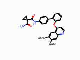 COc1cc2nccc(Oc3ccccc3-c3ccc(NC(=O)C4(C(N)=O)CC4)cc3)c2cc1OC